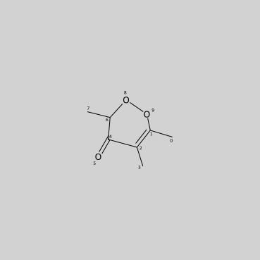 CC1=C(C)C(=O)C(C)OO1